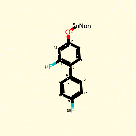 CCCCCCCCCOc1ccc(-c2ccc(F)cc2)c(F)c1